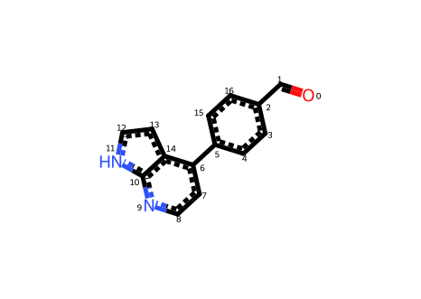 O=Cc1ccc(-c2ccnc3[nH]ccc23)cc1